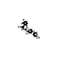 CC[C@H]1[C@@H](NC(=O)Nc2ccc(Oc3ccc(C#N)nc3)cn2)[C@H]1c1c(F)ccc(F)c1C